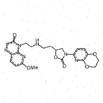 COc1ccc2ncc(=O)n(CCNCCC3CN(c4ccc5c(n4)OCCO5)C(=O)O3)c2n1